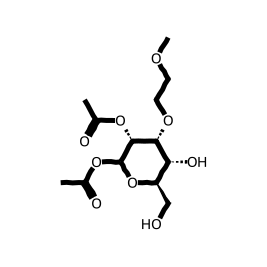 COCCO[C@@H]1[C@H](O)[C@@H](CO)OC(OC(C)=O)[C@@H]1OC(C)=O